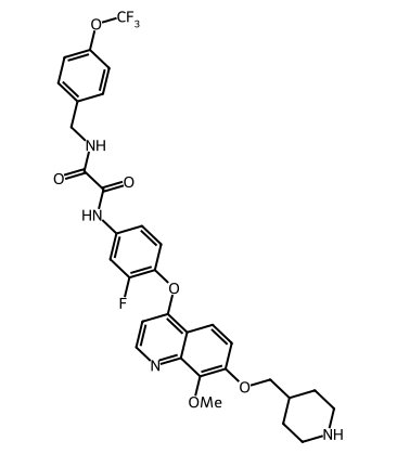 COc1c(OCC2CCNCC2)ccc2c(Oc3ccc(NC(=O)C(=O)NCc4ccc(OC(F)(F)F)cc4)cc3F)ccnc12